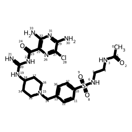 CC(=O)NCCNS(=O)(=O)c1ccc(CN2CCC(NC(=N)NC(=O)c3nc(Cl)c(N)nc3N)CC2)cc1